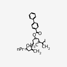 [CH2]CC[C@H]1CC(=C)[C@H](CC[C@H](C[C@@H](C)C(=C)I)OC(=O)c2ccc(-c3ccccc3)cc2)O1